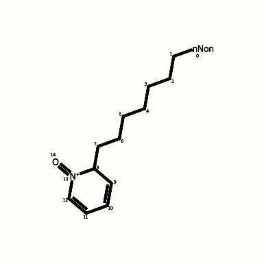 CCCCCCCCCCCCCCCCC1C=CC=C[N+]1=O